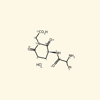 CC(C)C(N)C(=O)N[C@H]1CCC(=O)N(CC(=O)O)C1=O.Cl